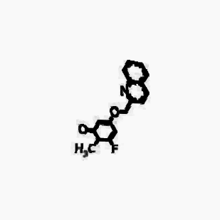 CC1C(=O)C=C(OCc2ccc3ccccc3n2)C=C1F